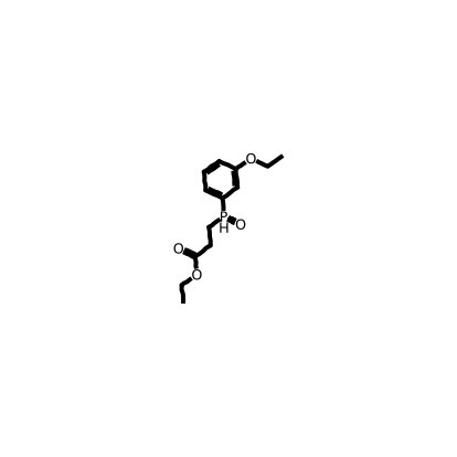 CCOC(=O)CC[PH](=O)c1cccc(OCC)c1